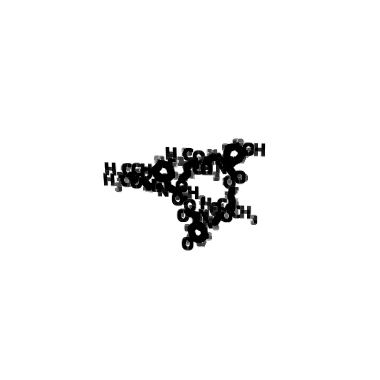 CCOC(=O)c1nn(CC(=O)OC(C)(C)CCCOC(=O)c2nn(CC(=O)OC(C)(C)CCCOC(=O)c3nn(CC(=O)OC(C)(C)C)c4c3CC(F)CC4)c3c2CC(O)CC3)c2c1CC(=O)CC2